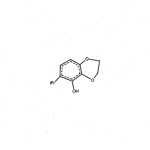 CC(C)c1ccc2c(c1O)OCCO2